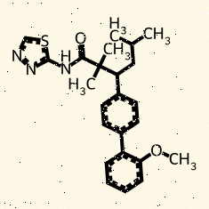 COc1ccccc1-c1ccc(C(CC(C)C)C(C)(C)C(=O)Nc2nncs2)cc1